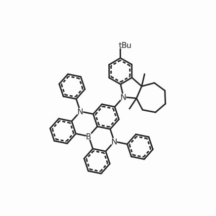 CC(C)(C)c1ccc2c(c1)C1(C)CCCCCC1(C)N2c1cc2c3c(c1)N(c1ccccc1)c1ccccc1B3c1ccccc1N2c1ccccc1